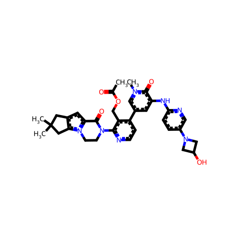 CC(=O)OCc1c(-c2cc(Nc3ccc(N4CC(O)C4)cn3)c(=O)n(C)c2)ccnc1N1CCn2c(cc3c2CC(C)(C)C3)C1=O